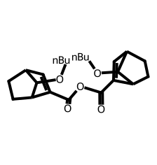 CCCCOC1C2C=C(C(=O)OC(=O)C3=CC4CCC3C4OCCCC)C1CC2